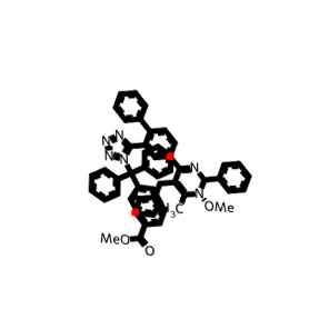 COC(=O)c1ccc(CC2=C(C)N(OC)C(c3ccccc3)N=C2c2ccc(-c3ccccc3)c(-c3nnnn3C(c3ccccc3)(c3ccccc3)c3ccccc3)c2)cc1